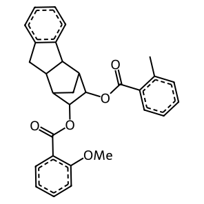 COc1ccccc1C(=O)OC1C2CC(C1OC(=O)c1ccccc1C)C1c3ccccc3CC21